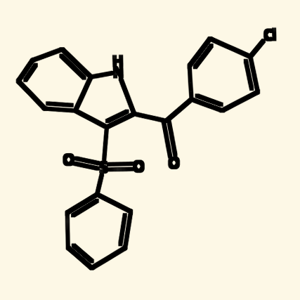 O=C(c1ccc(Cl)cc1)c1[nH]c2ccccc2c1S(=O)(=O)c1ccccc1